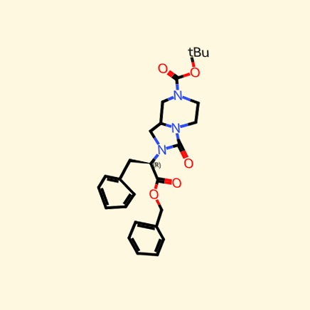 CC(C)(C)OC(=O)N1CCN2C(=O)N([C@H](Cc3ccccc3)C(=O)OCc3ccccc3)CC2C1